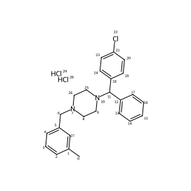 Cc1cccc(CN2CCN(C(c3ccccc3)c3ccc(Cl)cc3)CC2)c1.Cl.Cl